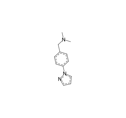 CN(C)Cc1ccc(-n2cccn2)cc1